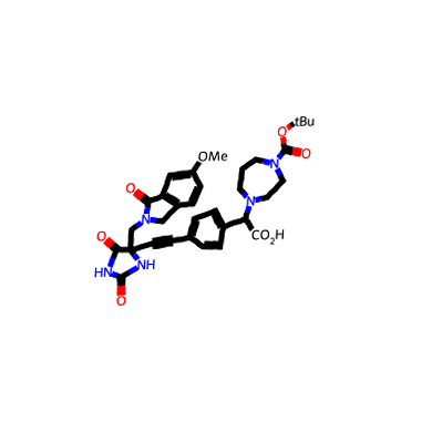 COc1ccc2c(c1)C(=O)N(CC1(C#Cc3ccc(C(C(=O)O)N4CCCN(C(=O)OC(C)(C)C)CC4)cc3)NC(=O)NC1=O)C2